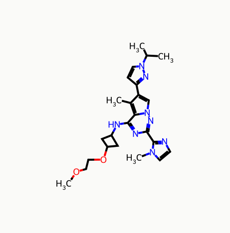 COCCOC1CC(Nc2nc(-c3nccn3C)nn3cc(-c4ccn(C(C)C)n4)c(C)c23)C1